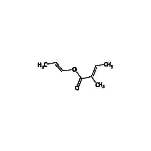 CC=COC(=O)C(C)=CC